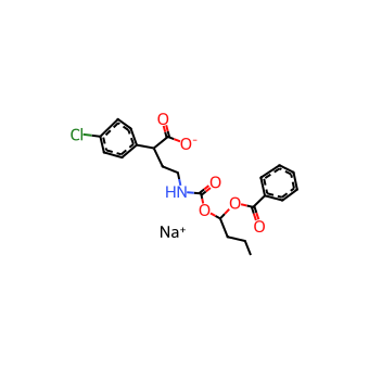 CCCC(OC(=O)NCCC(C(=O)[O-])c1ccc(Cl)cc1)OC(=O)c1ccccc1.[Na+]